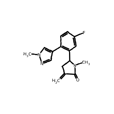 C=C1CC(c2cc(F)ccc2-c2cnn(C)c2)N(C)C1=O